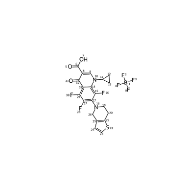 F[B-](F)(F)F.O=C(O)c1cn(C2CC2)c2c(F)c(N3CCc4sccc4C3)c(F)c(F)c2c1=O